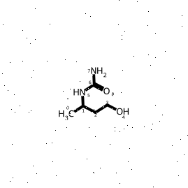 CC(CCO)NC(N)=O